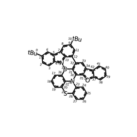 CC(C)(C)c1ccc2c(c1)c1cc(C(C)(C)C)cc3c1n2B1c2cccc4c2N(c2ccccc2S4)c2c1c-3cc1c2oc2ccccc21